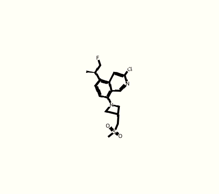 C[C@@H](CF)c1ccc(N2CC(CS(C)(=O)=O)C2)c2cnc(Cl)cc12